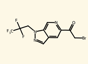 O=C(CBr)c1cc2cnn(CC(F)(F)C(F)(F)F)c2cn1